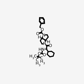 CC(C)(C)OC(=O)N[C@H](C(=O)N1CC[C@@H]2[C@H]1CCN2C(=O)OCc1ccccc1)C1CCCCC1